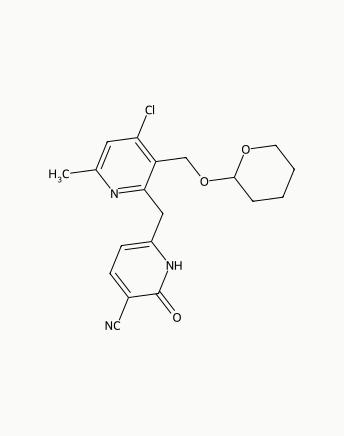 Cc1cc(Cl)c(COC2CCCCO2)c(Cc2ccc(C#N)c(=O)[nH]2)n1